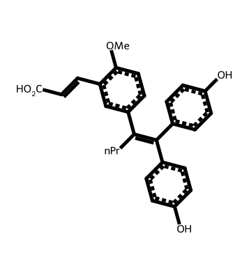 CCCC(=C(c1ccc(O)cc1)c1ccc(O)cc1)c1ccc(OC)c(C=CC(=O)O)c1